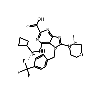 C[C@@H]1COCCN1c1nc2nc(C(=O)O)nc(N[C@H](C)C3CCC3)c2n1Cc1ccc(C(F)(F)F)cc1